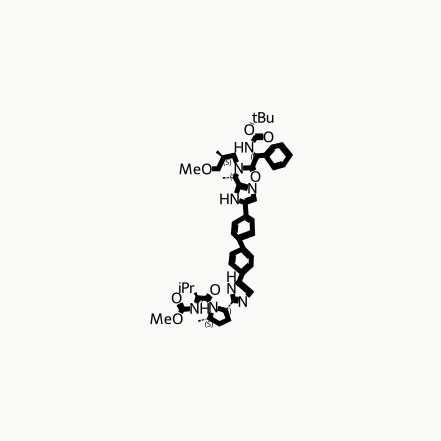 COC[C@@H](C)CN(C(=O)[C@H](NC(=O)OC(C)(C)C)c1ccccc1)[C@@H](C)c1ncc(-c2ccc(-c3ccc(-c4cnc([C@@H]5CC[C@H](C)N5C(=O)[C@@H](NC(=O)OC)C(C)C)[nH]4)cc3)cc2)[nH]1